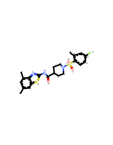 Cc1cc(C)c2nc(NC(=O)C3CCN(S(=O)(=O)c4ccc(F)cc4C)CC3)sc2c1